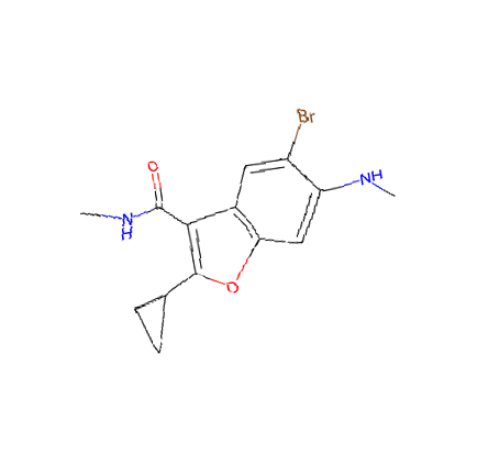 CNC(=O)c1c(C2CC2)oc2cc(NC)c(Br)cc12